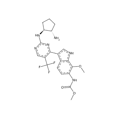 COC(=O)Nc1ccc2c(-c3nc(N[C@H]4CCC[C@@H]4N)ncc3C(F)(F)F)c[nH]c2c1OC